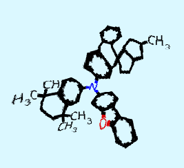 CC1CC2CCC3(c4ccccc4-c4ccc(N(c5ccc6c(c5)C(C)(C)CCC6(C)C)c5ccc6c(c5)oc5ccccc56)cc43)C2C1